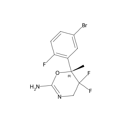 C[C@]1(c2cc(Br)ccc2F)OC(N)=NCC1(F)F